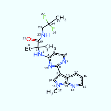 CCC(C)(Nc1ccnc(-c2cn(C)c3ncccc23)n1)C(=O)NCC(C)(F)F